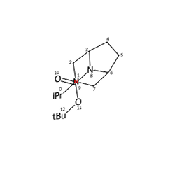 CC(C)N1CC2CCC(C1)N2C(=O)OC(C)(C)C